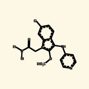 CCOC(=O)Oc1c(Nc2ccncc2)c2ccc(Cl)cc2n1CC(=O)N(CC)CC